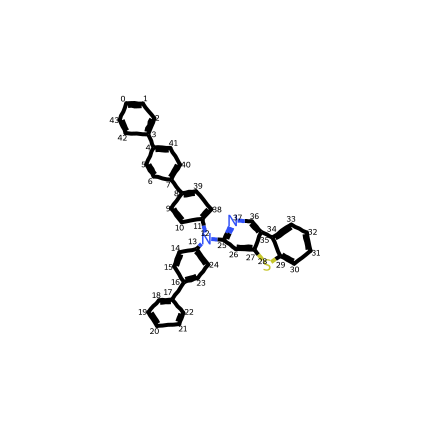 c1ccc(-c2ccc(-c3ccc(N(c4ccc(-c5ccccc5)cc4)c4cc5sc6ccccc6c5cn4)cc3)cc2)cc1